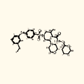 CCc1cccc(Sc2ccc(S(=O)(=O)N(CCN3CCOCC3)CC(C)CC(=O)NOC3CCCCO3)cc2)c1